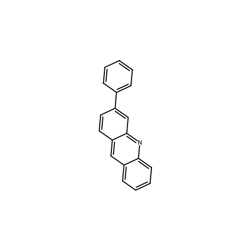 [c]1ccccc1-c1ccc2cc3ccccc3nc2c1